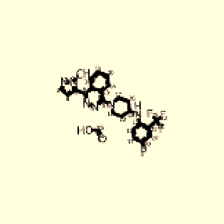 Cn1nccc1-c1nnc(N2CCC(Nc3ccc(F)cc3C(F)(F)F)CC2)c2ccccc12.O=CO